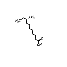 CC[C@H](C)CCCCCCCC(=O)O